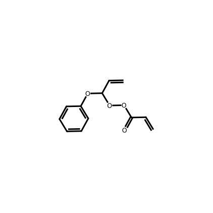 C=CC(=O)OOC(C=C)Oc1ccccc1